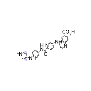 C=N/C=C\C(=C/C)Nc1ccc(NC(=O)c2ccc(Nc3ccnc4ccc(C(=O)O)cc34)cn2)cc1